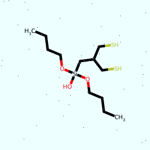 CCCCO[Si](O)(CC(CS)CS)OCCCC